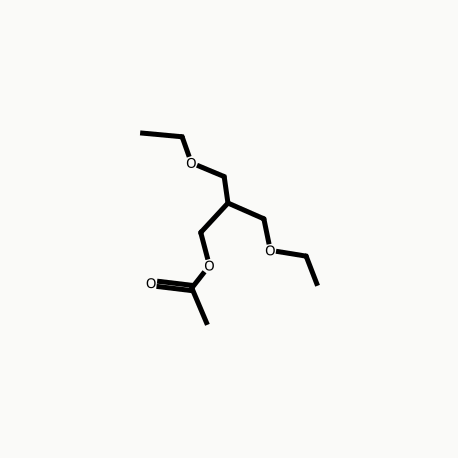 CCOCC(COCC)COC(C)=O